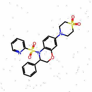 O=S1(=O)CCN(c2ccc3c(c2)OCC(c2ccccc2)N3S(=O)(=O)c2ccccn2)CC1